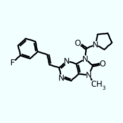 Cn1c(=O)n(C(=O)N2CCCC2)c2nc(C=Cc3cccc(F)c3)ncc21